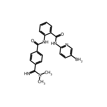 Bc1ccc(NC(=O)c2ccccc2NC(=O)c2ccc(C(=N)N(C)C)cc2)nc1